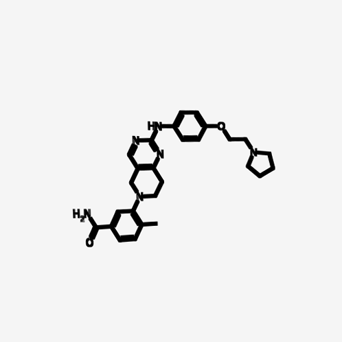 Cc1ccc(C(N)=O)cc1N1CCc2nc(Nc3ccc(OCCN4CCCC4)cc3)ncc2C1